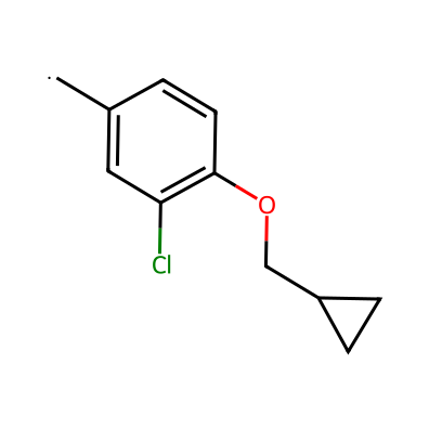 [CH2]c1ccc(OCC2CC2)c(Cl)c1